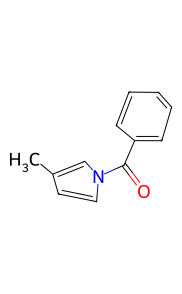 Cc1ccn(C(=O)c2ccccc2)c1